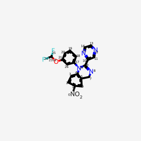 O=[N+]([O-])c1ccc2c(c1)CN=C(c1cnccn1)N2c1cccc(OC(F)F)c1